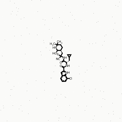 CC1(C)CC[C@@H](CC(F)(C#N)NC(=O)[C@H](CC2CC2)NC(=O)c2cc3cccc(Cl)c3[nH]2)C(O)N1